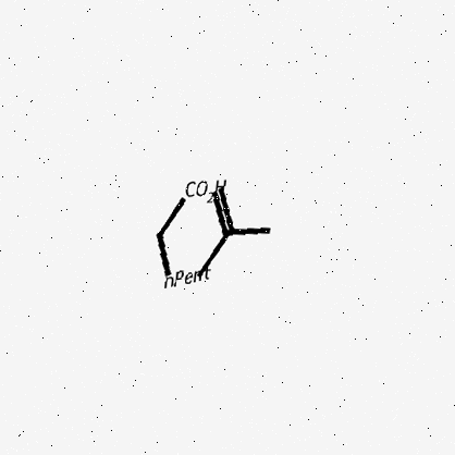 C=C(C)C.CCCCCCC(=O)O